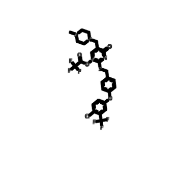 CN1CCN(Cc2cn(OC(=O)C(F)(F)F)c(SCc3ccc(Oc4ccc(Cl)c(C(F)(F)F)c4)cc3)nc2=O)CC1